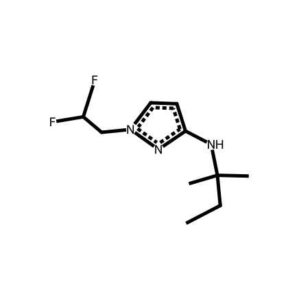 CCC(C)(C)Nc1ccn(CC(F)F)n1